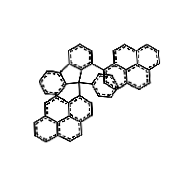 c1ccc(C2(c3ccc4ccc5cccc6ccc3c4c56)c3ccccc3-c3cccc(-c4ccc5ccc6cccc7ccc4c5c67)c32)cc1